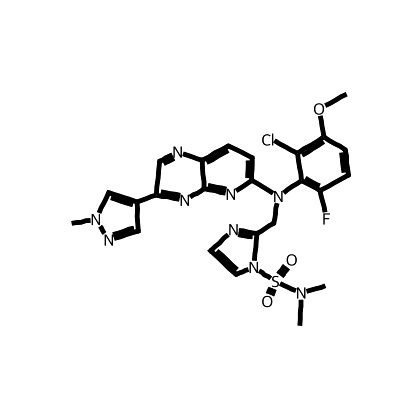 COc1ccc(F)c(N(Cc2nccn2S(=O)(=O)N(C)C)c2ccc3ncc(-c4cnn(C)c4)nc3n2)c1Cl